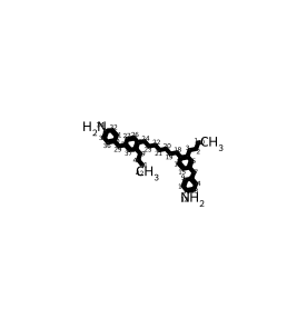 CCCCc1cc(Cc2ccc(N)cc2)ccc1CCCCCCCc1ccc(Cc2ccc(N)cc2)cc1CCCC